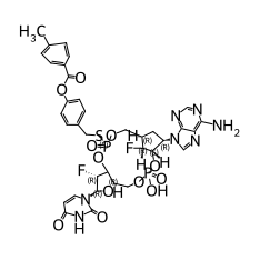 Cc1ccc(C(=O)Oc2ccc(CS[P@@]3(=O)OC[C@H]4C[C@@H](n5cnc6c(N)ncnc65)[C@H](OP(=O)(O)OC[C@H]5O[C@@H](n6ccc(=O)[nH]c6=O)[C@H](F)C5O3)[C@@H]4F)cc2)cc1